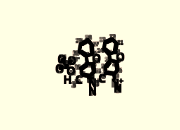 Cc1cc2c(cc1[N+]#N)oc1ccccc12.Cc1cc2c(cc1[N+]#N)oc1ccccc12.O=S(=O)([O-])[O-]